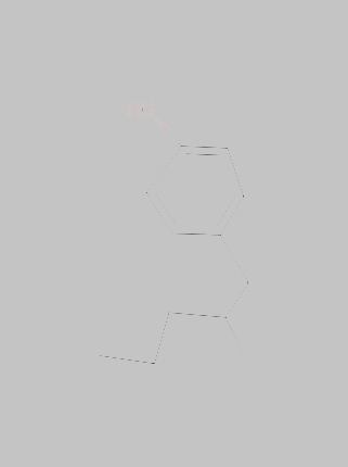 CCCC(C)Cc1ccc(O)cc1